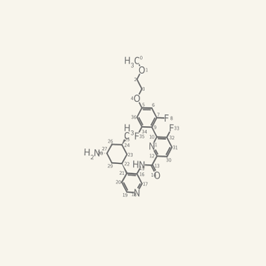 COCCOc1cc(F)c(-c2nc(C(=O)Nc3cnccc3[C@@H]3C[C@H](C)C[C@@H](N)C3)ccc2F)c(F)c1